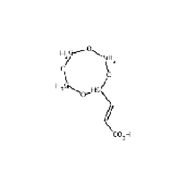 O=C(O)C=C[SiH]1O[SiH2]O[SiH2]O[SiH2]O1